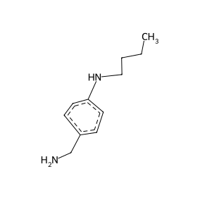 CCCCNc1ccc(CN)cc1